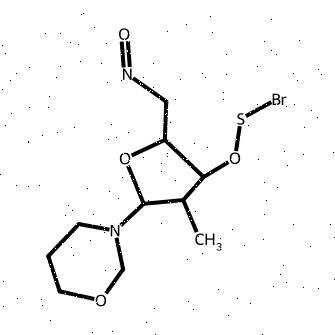 CC1C(OSBr)C(CN=O)OC1N1CCCOC1